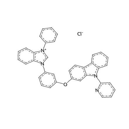 [Cl-].c1ccc(-[n+]2cn(-c3cccc(Oc4ccc5c6ccccc6n(-c6ccccn6)c5c4)c3)c3ccccc32)cc1